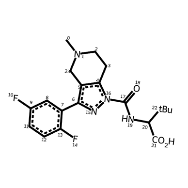 CN1CCc2c(c(-c3cc(F)ccc3F)nn2C(=O)NC(C(=O)O)C(C)(C)C)C1